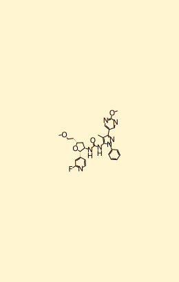 COCC[C@@H]1C[C@@H](NC(=O)Nc2c(C)c(-c3cnc(OC)nc3)nn2-c2ccccc2)[C@H](c2ccnc(F)c2)O1